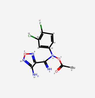 CC(C)(C)C(=O)ON(C(=N)c1nonc1N)c1ccc(F)c(Cl)c1